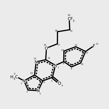 Cn1cnc2c(=O)n(-c3ccc(F)cc3)c(OCCCC(F)(F)F)nc21